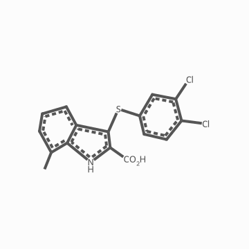 Cc1cccc2c(Sc3ccc(Cl)c(Cl)c3)c(C(=O)O)[nH]c12